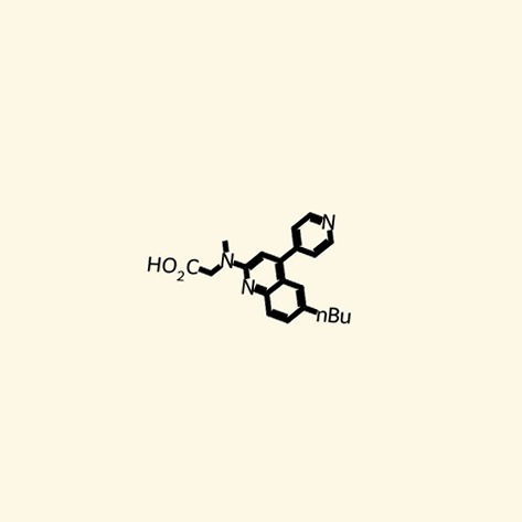 CCCCc1ccc2nc(N(C)CC(=O)O)cc(-c3ccncc3)c2c1